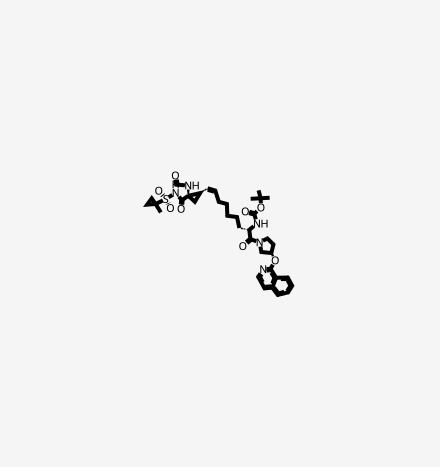 CC(C)(C)OC(=O)N[C@@H](CCCCC/C=C\[C@@H]1C[C@]1(NC=O)C(=O)NS(=O)(=O)C1(C)CC1)C(=O)N1CC[C@@H](Oc2nccc3ccccc23)C1